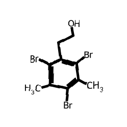 Cc1c(Br)c(C)c(Br)c(CCO)c1Br